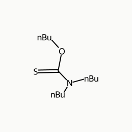 CCCCOC(=S)N(CCCC)CCCC